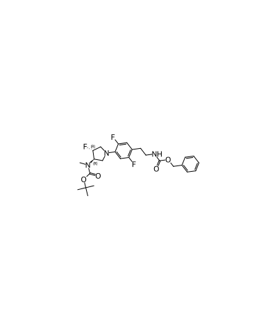 CN(C(=O)OC(C)(C)C)[C@@H]1CN(c2cc(F)c(CCNC(=O)OCc3ccccc3)cc2F)C[C@H]1F